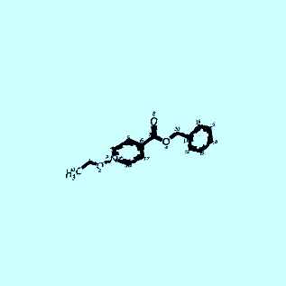 CCO[n+]1ccc(C(=O)OCc2ccccc2)cc1